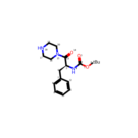 CC(C)(C)OC(=O)N[C@@H](Cc1ccccc1)C(=O)N1CCNCC1